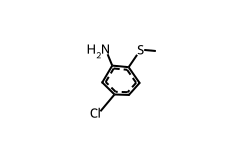 CSc1ccc(Cl)cc1N